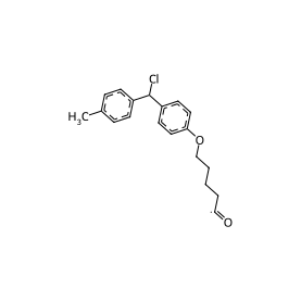 Cc1ccc(C(Cl)c2ccc(OCCCC[C]=O)cc2)cc1